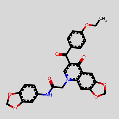 CCOc1ccc(C(=O)c2cn(CC(=O)Nc3ccc4c(c3)OCO4)c3cc4c(cc3c2=O)OCO4)cc1